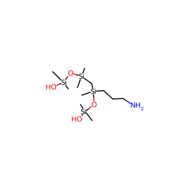 C[Si](C)(O)O[Si](C)(C)C[Si](C)(CCCN)O[Si](C)(C)O